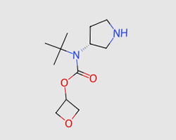 CC(C)(C)N(C(=O)OC1COC1)[C@@H]1CCNC1